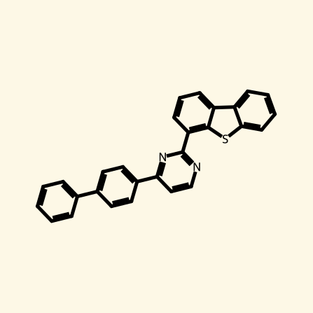 c1ccc(-c2ccc(-c3ccnc(-c4cccc5c4sc4ccccc45)n3)cc2)cc1